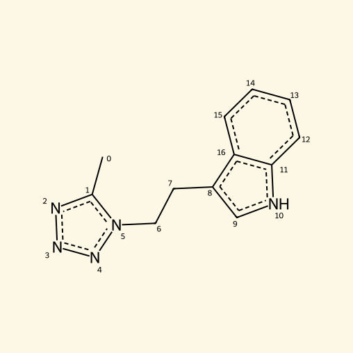 Cc1nnnn1CCc1c[nH]c2ccccc12